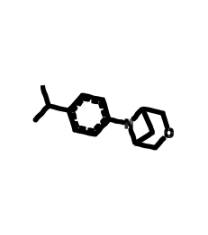 CC(C)c1ccc(N2C3COCC2C3)cc1